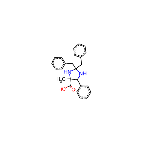 CC1(C(=O)O)NC(Cc2ccccc2)(Cc2ccccc2)NC1c1ccccc1